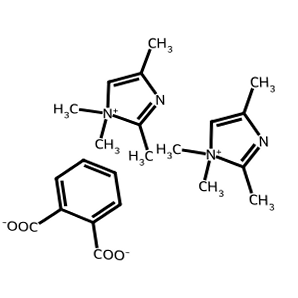 CC1=C[N+](C)(C)C(C)=N1.CC1=C[N+](C)(C)C(C)=N1.O=C([O-])c1ccccc1C(=O)[O-]